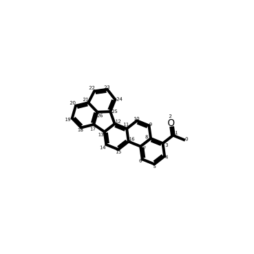 CC(=O)c1cccc2c1ccc1c3c(ccc12)-c1cccc2cccc-3c12